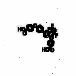 O=C(O)c1ccc(Oc2ccc(-c3ccc(Oc4ccc(C(=O)O)cc4)c(C(C(F)(F)F)C(F)(F)F)c3)cc2)cc1